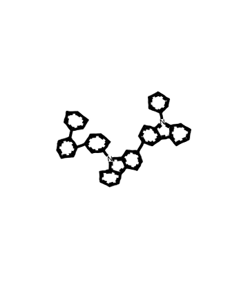 c1ccc(-c2ccccc2-c2cccc(-n3c4ccccc4c4ccc(-c5ccc6c(c5)c5ccccc5n6-c5ccccc5)cc43)c2)cc1